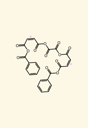 O=C(/C=C\C(=O)OC(=O)c1ccccc1)OC(=O)C(=O)OC(=O)/C=C\C(=O)OC(=O)c1ccccc1